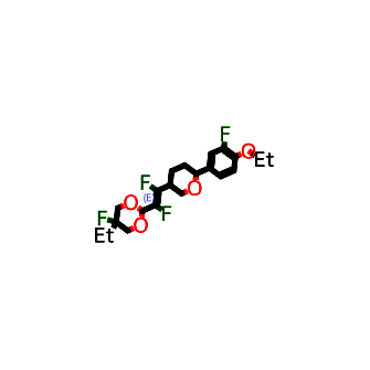 CCOc1ccc(C2CCC(/C(F)=C(\F)C3OCC(F)(CC)CO3)CO2)cc1F